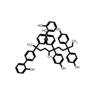 CCC(CCC(c1ccc(O)cc1)(c1ccc(O)cc1)C(C)CCC(C)(c1ccc(-c2ccccc2O)cc1)c1ccc(-c2ccccc2O)cc1)(c1ccc(O)cc1)c1ccc(O)cc1